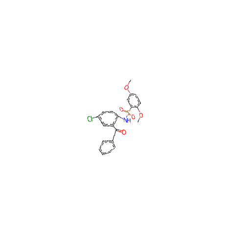 COc1ccc(OC)c(S(=O)(=O)Nc2ccc(Cl)cc2C(=O)c2ccccc2)c1